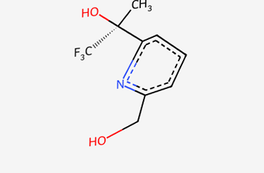 C[C@](O)(c1cccc(CO)n1)C(F)(F)F